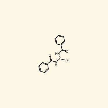 CCC[CH2][Y]([NH]C(=O)c1ccccc1)[NH]C(=O)c1ccccc1